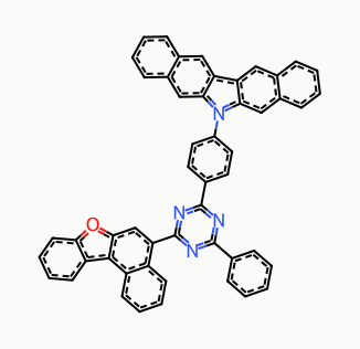 c1ccc(-c2nc(-c3ccc(-n4c5cc6ccccc6cc5c5cc6ccccc6cc54)cc3)nc(-c3cc4oc5ccccc5c4c4ccccc34)n2)cc1